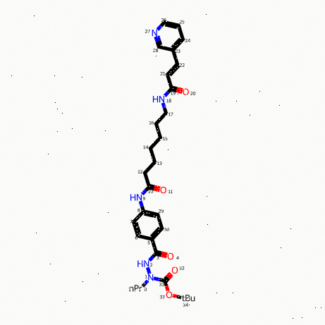 CCCN(NC(=O)c1ccc(NC(=O)CCCCCCNC(=O)/C=C/c2cccnc2)cc1)C(=O)OC(C)(C)C